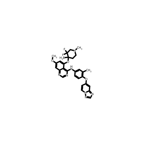 BC1(Oc2cc(OC)cc3ncnc(Nc4ccc(Oc5ccn6ncnc6c5)c(C)c4)c23)CCN(C)CC1(F)F